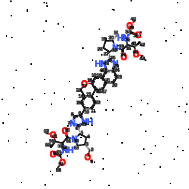 COC[C@H]1C[C@@H](c2ncc(-c3ccc4c(c3)COc3cc5c(ccc6nc([C@@H]7CC[C@H](C)N7C(=O)[C@@H](NC(=O)OC)[C@@H](C)OC)[nH]c65)cc3-4)[nH]2)N(C(=O)[C@@H](NC(=O)OC)[C@@H](C)OC)C1